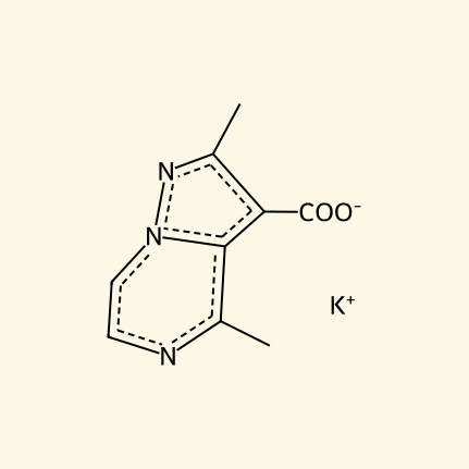 Cc1nn2ccnc(C)c2c1C(=O)[O-].[K+]